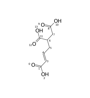 O=C(O)C=CCC(CC(=O)O)C(=O)O